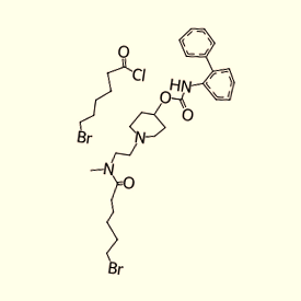 CN(CCN1CCC(OC(=O)Nc2ccccc2-c2ccccc2)CC1)C(=O)CCCCCBr.O=C(Cl)CCCCCBr